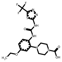 CCOc1ccc(NC(=O)Nc2nnc(C(F)(F)F)s2)c(N2CCN(C(=O)O)CC2)c1